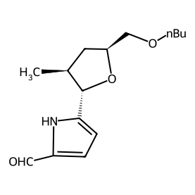 CCCCOC[C@@H]1C[C@H](C)[C@@H](c2ccc(C=O)[nH]2)O1